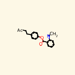 C=Nc1ccccc1C(=O)Oc1ccc(CCC(C)=O)cc1